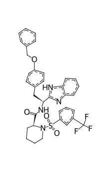 O=C(N[C@@H](Cc1ccc(OCc2ccccc2)cc1)c1nc2ccccc2[nH]1)[C@@H]1CCCCN1S(=O)(=O)c1cccc(C(F)(F)F)c1